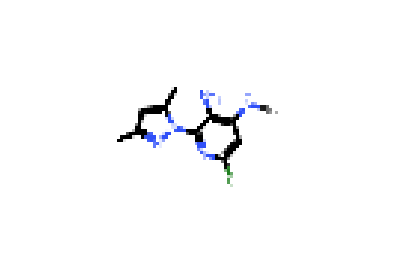 CCNc1cc(Cl)nc(-n2nc(C)cc2C)c1N